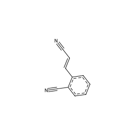 N#C/C=C/c1ccccc1C#N